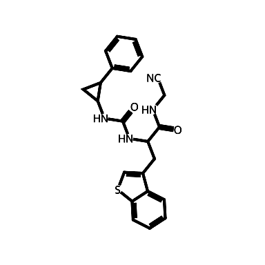 N#CCNC(=O)C(Cc1csc2ccccc12)NC(=O)NC1CC1c1ccccc1